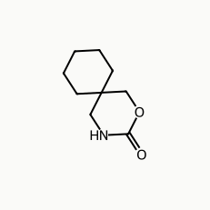 O=C1NCC2(CCCCC2)CO1